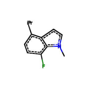 CC(C)c1ccc(F)c2c1ccn2C